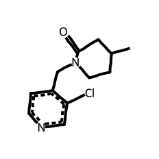 CC1CCN(Cc2ccncc2Cl)C(=O)C1